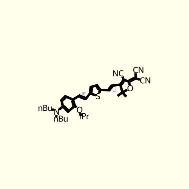 CCCCN(CCCC)c1ccc(/C=C/c2ccc(/C=C/C3=C(C#N)C(=C(C#N)C#N)OC3(C)C)s2)c(OC(C)C)c1